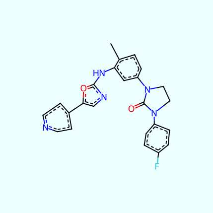 Cc1ccc(N2CCN(c3ccc(F)cc3)C2=O)cc1Nc1ncc(-c2ccncc2)o1